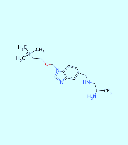 C[Si](C)(C)CCOCn1cnc2cc(CNC[C@H](N)C(F)(F)F)ccc21